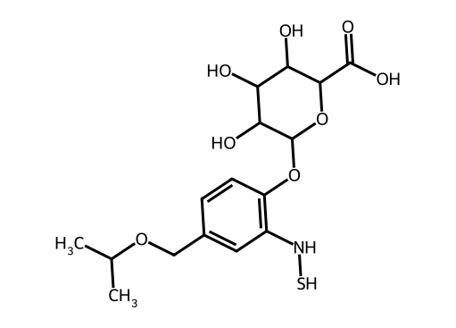 CC(C)OCc1ccc(OC2OC(C(=O)O)C(O)C(O)C2O)c(NS)c1